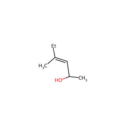 CCC(C)=CC(C)O